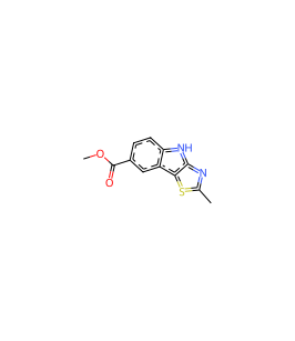 COC(=O)c1ccc2[nH]c3nc(C)sc3c2c1